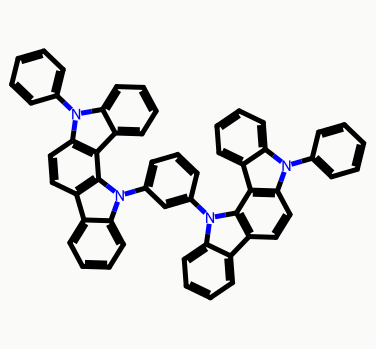 c1ccc(-n2c3ccccc3c3c2ccc2c4ccccc4n(-c4cccc(-n5c6ccccc6c6ccc7c(c8ccccc8n7-c7ccccc7)c65)c4)c23)cc1